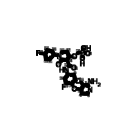 Nc1nccc(Oc2ccc(NC(=O)c3c(OCP(=O)(O)O)ccn(-c4ccc(F)cc4)c3=O)cc2F)c1Cl